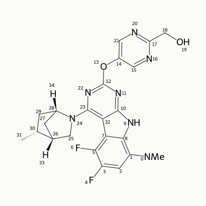 CNc1cc(F)c(F)c2c1[nH]c1nc(Oc3cnc(CO)nc3)nc(N3C[C@H]4C[C@@H]3C[C@H]4C)c12